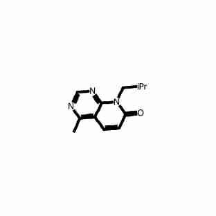 Cc1ncnc2c1ccc(=O)n2CC(C)C